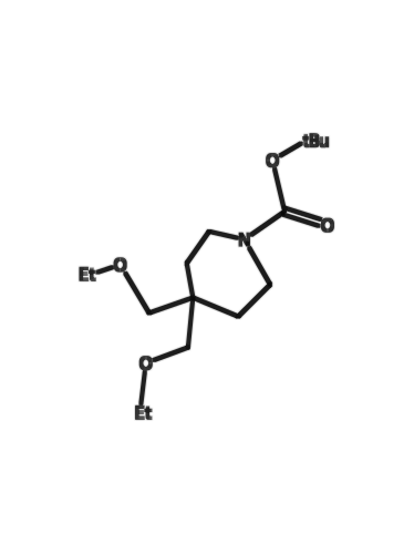 CCOCC1(COCC)CCN(C(=O)OC(C)(C)C)CC1